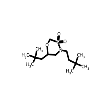 CC(C)(C)CCN1CC(CC(C)(C)C)OCS1(=O)=O